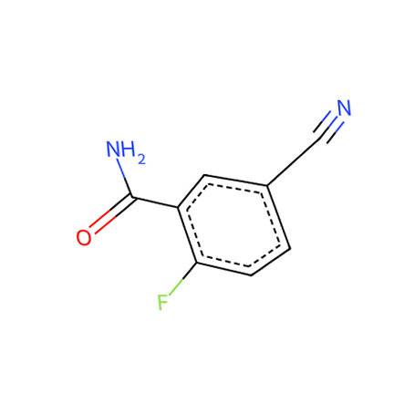 N#Cc1ccc(F)c(C(N)=O)c1